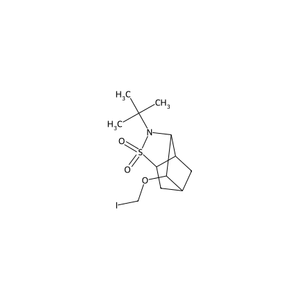 CC(C)(C)N1C2C3CC(CC3S1(=O)=O)C2OCI